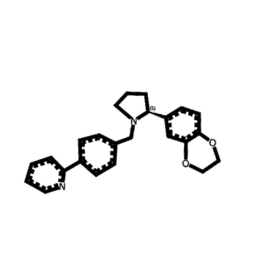 c1ccc(-c2ccc(CN3CCC[C@H]3c3ccc4c(c3)OCCO4)cc2)nc1